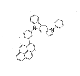 c1ccc(-n2ccc3cc4c(cc32)c2ccccc2n4-c2cccc(-c3ccc4ccc5cccc6ccc3c4c56)c2)cc1